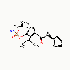 CC(C)c1ccc(C(=O)C2CC2c2ccccc2)c(C(C)C)c1OS(N)(=O)=O